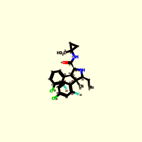 CC(C)(C)C[C@@H]1N[C@@H](C(=O)NC2(C(=O)O)CC2)[C@H](c2cccc(Cl)c2F)[C@@]1(C#N)c1ccc(Cl)cc1F